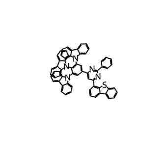 c1ccc(-c2nc(-c3cc(-n4c5ccccc5c5ccccc54)c(-n4c5ccccc5c5ccccc54)c(-n4c5ccccc5c5ccccc54)c3)cc(-c3cccc4c3sc3ccccc34)n2)cc1